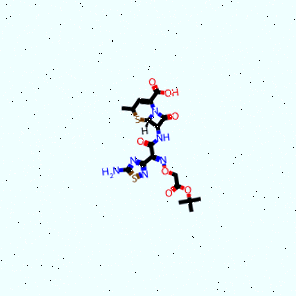 CC1C=C(C(=O)O)N2C(=O)C(NC(=O)C(=NOCC(=O)OC(C)(C)C)c3nsc(N)n3)[C@@H]2S1